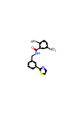 CCCc1ccc([N+](=O)[O-])cc1C(=O)NCc1cccc(-c2nccs2)c1